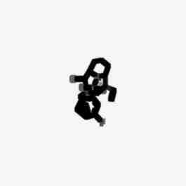 C#CCN1C[C@H](C=C)C2CCCC(C1=O)N2S(=O)(=O)c1cccc(F)c1